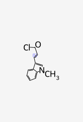 Cn1cc(/C=C/C(=O)Cl)c2ccccc21